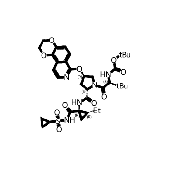 CC[C@@H]1C[C@]1(NC(=O)[C@@H]1C[C@@H](Oc2nccc3c4c(ccc23)OCCO4)CN1C(=O)[C@@H](NC(=O)OC(C)(C)C)C(C)(C)C)C(=O)NS(=O)(=O)C1CC1